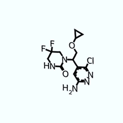 Nc1cc(C(COC2CC2)N2CC(F)(F)CNC2=O)c(Cl)nn1